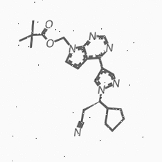 CC(C)(C)C(=O)OCn1ccc2c(-c3cnn([C@H](CC#N)C4CCCC4)c3)ncnc21